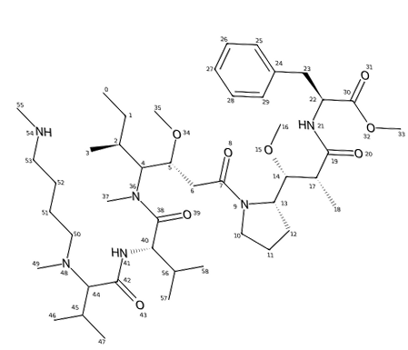 CC[C@H](C)C([C@@H](CC(=O)N1CCC[C@H]1[C@H](OC)[C@@H](C)C(=O)N[C@@H](Cc1ccccc1)C(=O)OC)OC)N(C)C(=O)[C@@H](NC(=O)C(C(C)C)N(C)CCCCNC)C(C)C